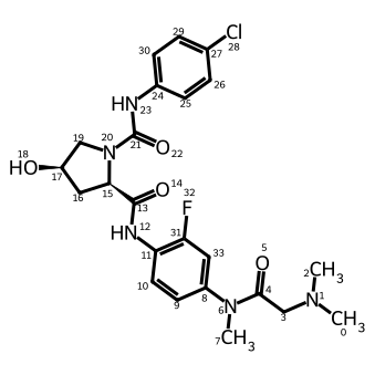 CN(C)CC(=O)N(C)c1ccc(NC(=O)[C@H]2C[C@@H](O)CN2C(=O)Nc2ccc(Cl)cc2)c(F)c1